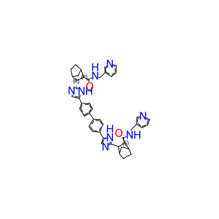 O=C(NCc1cccnc1)[C@H]1C2CCC(C2)C1c1ncc(-c2ccc(-c3ccc(-c4cnc([C@@H]5C6CCC(C6)[C@H]5C(=O)NCc5cccnc5)[nH]4)cc3)cc2)[nH]1